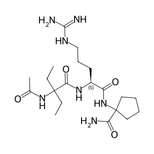 CCC(CC)(NC(C)=O)C(=O)N[C@@H](CCCNC(=N)N)C(=O)NC1(C(N)=O)CCCC1